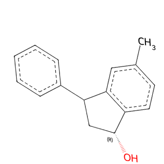 Cc1ccc2c(c1)C(c1ccccc1)C[C@H]2O